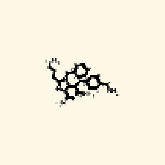 CCCCc1nc2c(N)nc(N)c(Cc3ccc(CN)cc3)c2n1Cc1ccccc1